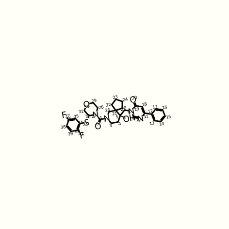 O=C(N1CC[C@@](O)(Cn2cnc(-c3ccccc3)cc2=O)C2(CCCC2)C1)N1CCOC[C@H]1Sc1cc(F)ccc1F